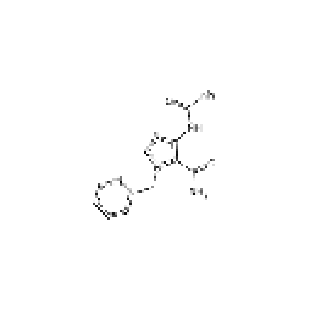 CCCC(=O)Nc1ncn(Cc2ccccn2)c1C(N)=O